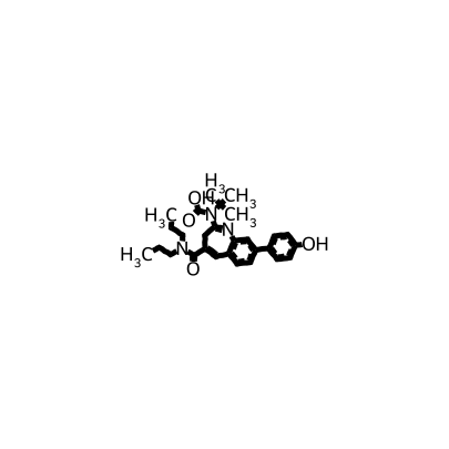 CCCN(CCC)C(=O)C1=Cc2ccc(-c3ccc(O)cc3)cc2N=C(N(C(=O)O)C(C)(C)C)C1